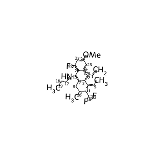 C=C/C=C(\C=C/C)C(/CC(C)CC(F)F)=C(/N/C=C/C)c1c(F)cc(OC)cc1F